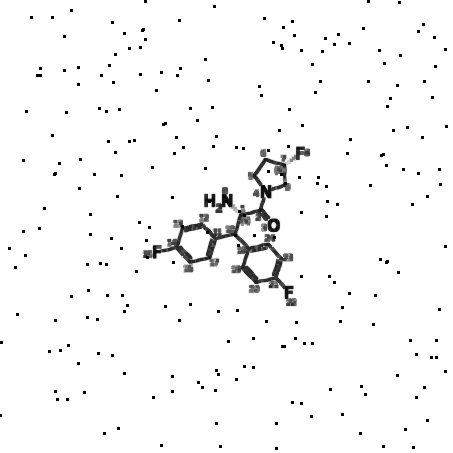 N[C@H](C(=O)N1CC[C@H](F)C1)C(c1ccc(F)cc1)c1ccc(F)cc1